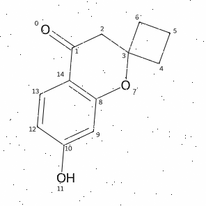 O=C1CC2(CCC2)Oc2cc(O)ccc21